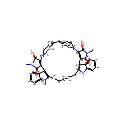 CN1C(=O)C2=C(C1=O)N1CCC(CC1)C1CCN(CC1)C1=C(C(=O)N(C)C1=O)c1c([nH]c3ccccc13)CCCCCc1[nH]c3ccccc3c12